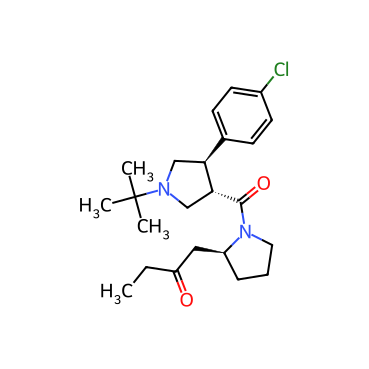 CCC(=O)C[C@@H]1CCCN1C(=O)[C@@H]1CN(C(C)(C)C)C[C@H]1c1ccc(Cl)cc1